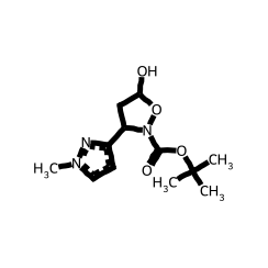 Cn1ccc(C2CC(O)ON2C(=O)OC(C)(C)C)n1